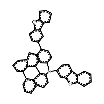 c1ccc(-c2cccc3cccc(-c4ccccc4N(c4ccc(-c5ccc6oc7ccccc7c6c5)cc4)c4ccc5c(c4)oc4ccccc45)c23)cc1